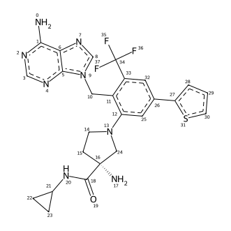 Nc1ncnc2c1ncn2Cc1c(N2CC[C@](N)(C(=O)NC3CC3)C2)cc(-c2cccs2)cc1C(F)(F)F